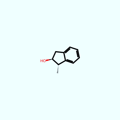 C[C@H]1c2ccccc2C[C@@H]1O